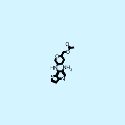 CC(=O)OCC1CC[C@@H](Nc2c(N)cnc3ccsc23)CO1